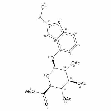 COC(=O)[C@H]1O[C@@H](Oc2cccc3sc(CO)cc23)[C@H](OC(C)=O)[C@@H](OC(C)=O)[C@@H]1OC(C)=O